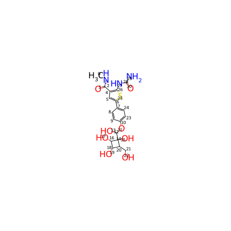 CNC(=O)c1cc(-c2ccc(OC(O)C3(O)C(O)C(O)C3CO)cc2)sc1NC(N)=O